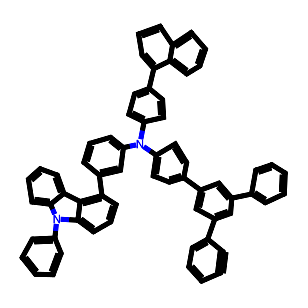 c1cccc(-c2cc(-c3ccccc3)cc(-c3ccc(N(c4ccc(-c5cccc6ccccc56)cc4)c4cccc(-c5cccc6c5c5ccccc5n6-c5ccccc5)c4)cc3)c2)c#1